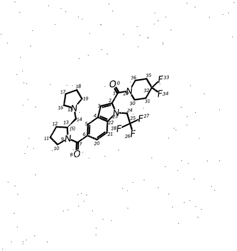 O=C(c1cc2cc(C(=O)N3CCC[C@H]3CN3CCCC3)ccc2n1CC(F)(F)F)N1CCC(F)(F)CC1